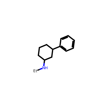 CCNC1CCCC(c2ccccc2)C1